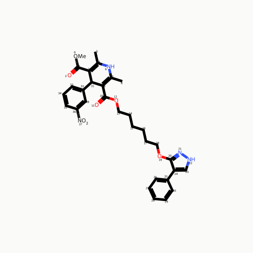 COC(=O)C1=C(C)NC(C)=C(C(=O)OCCCCCCOc2n[nH]cc2-c2ccccc2)C1c1cccc([N+](=O)[O-])c1